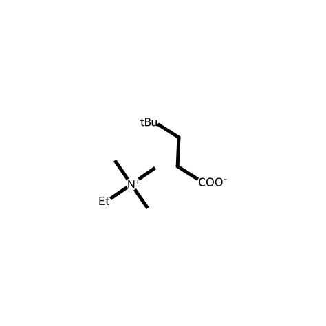 CC(C)(C)CCC(=O)[O-].CC[N+](C)(C)C